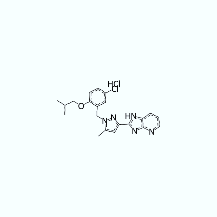 Cc1cc(-c2nc3ncccc3[nH]2)nn1Cc1cc(Cl)ccc1OCC(C)C.Cl